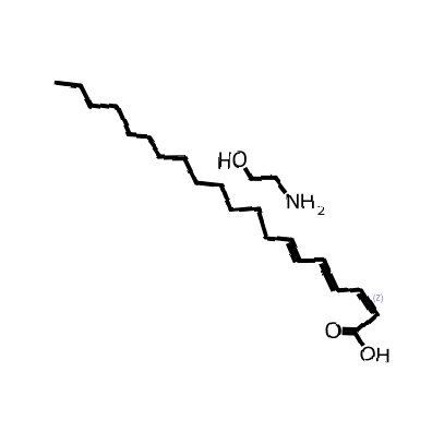 CCCCCCCCCCCCCC=CC=C/C=C\C(=O)O.NCCO